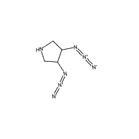 [N-]=[N+]=NC1CNCC1N=[N+]=[N-]